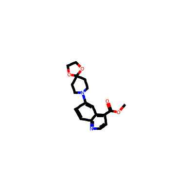 COC(=O)c1ccnc2ccc(N3CCC4(CC3)OCCO4)cc12